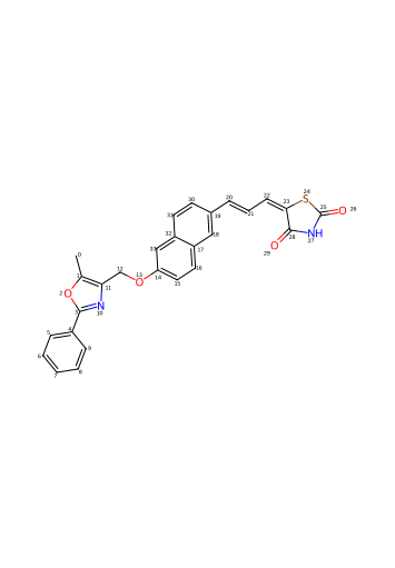 Cc1oc(-c2ccccc2)nc1COc1ccc2cc(C=CC=C3SC(=O)NC3=O)ccc2c1